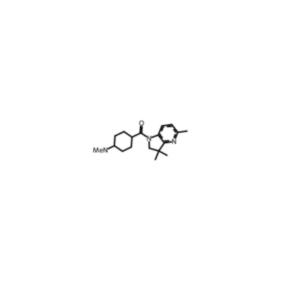 CNC1CCC(C(=O)N2CC(C)(C)c3nc(C)ccc32)CC1